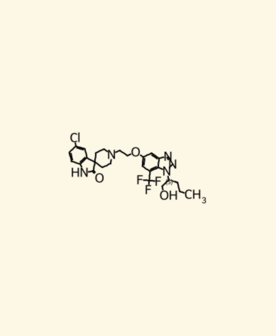 CCC[C@@H](CO)n1nnc2cc(OCCN3CCC4(CC3)C(=O)Nc3ccc(Cl)cc34)cc(C(F)(F)F)c21